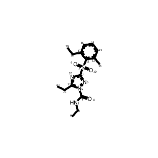 CCNC(=O)n1nc(S(=O)(=O)c2c(C)cccc2CC)nc1CC